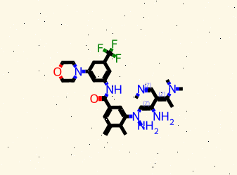 C=C1C=C(C(=O)NC2=CC(C(F)(F)F)CC(N3CCOCC3)=C2)C=C(N(N)/C=C(N)/C(/C=N\C)=C(\C)N(C)C)C1C